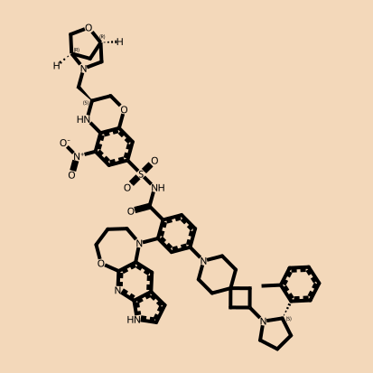 Cc1ccccc1[C@@H]1CCCN1C1CC2(CCN(c3ccc(C(=O)NS(=O)(=O)c4cc5c(c([N+](=O)[O-])c4)N[C@@H](CN4C[C@H]6C[C@@H]4CO6)CO5)c(N4CCCOc5nc6[nH]ccc6cc54)c3)CC2)C1